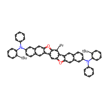 CC(C)c1c2oc3cc4cc(N(c5ccccc5)c5ccccc5C(C)(C)C)ccc4cc3c2cc2oc3cc4cc(N(c5ccccc5)c5ccccc5C(C)(C)C)ccc4cc3c12